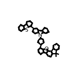 CC1(C)c2ccccc2-c2c1ccc1c2oc2c(-c3ccc(-n4c5ccccc5c5cc(-c6cccc7c6sc6ccccc67)ccc54)cc3)cccc21